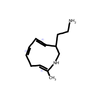 C/C1=C\C/C=C\C=C\C(CCN)CN1